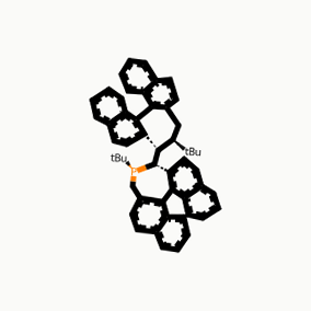 CC(C)(C)[C@@H]1Cc2ccc3ccccc3c2-c2c(ccc3ccccc23)[C@H]1[C@@H]1c2ccc3ccccc3c2-c2c(ccc3ccccc23)C[P@@]1C(C)(C)C